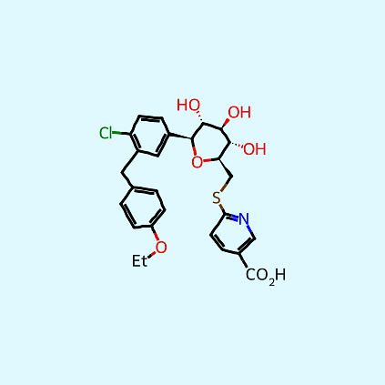 CCOc1ccc(Cc2cc([C@@H]3O[C@H](CSc4ccc(C(=O)O)cn4)[C@@H](O)[C@H](O)[C@H]3O)ccc2Cl)cc1